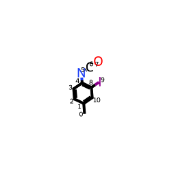 Cc1ccc(N=C=O)c(I)c1